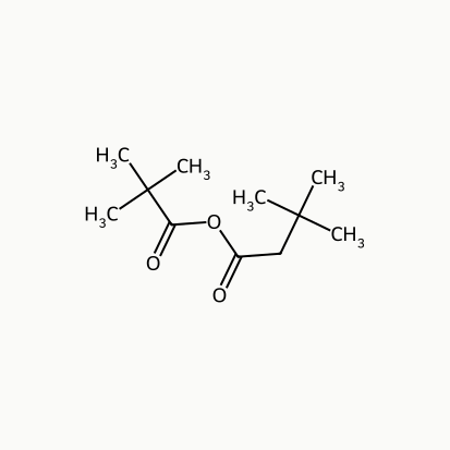 CC(C)(C)CC(=O)OC(=O)C(C)(C)C